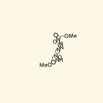 COCCC1CN(C(=O)c2cc(N3CCC(N4CCc5cc(OC)ccc5NC4=O)CC3)ncn2)c2ccccc21